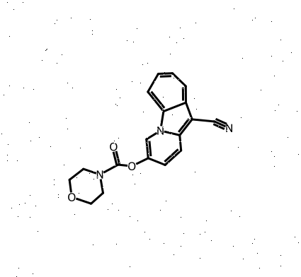 N#Cc1c2ccccc2n2cc(OC(=O)N3CCOCC3)ccc12